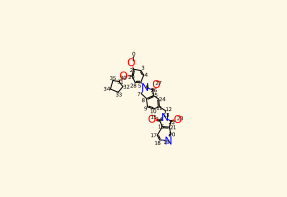 COc1ccc(N2Cc3ccc(CN4C(=O)c5ccncc5C4=O)cc3C2=O)cc1OC1CCCC1